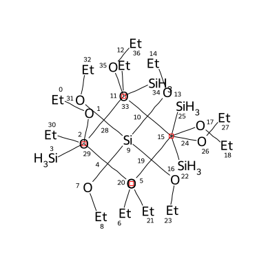 CCOC([SiH3])C(OCC)(OCC)[Si](C(OCC)(OCC)C([SiH3])OCC)(C(OCC)(OCC)C([SiH3])OCC)C(OCC)(OCC)C([SiH3])OCC